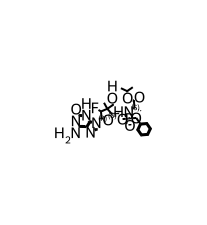 CC(C)OC(=O)[C@H](C)NP(=O)(OC[C@H]1O[C@@H](n2cnc3c(N)nc(=O)[nH]c32)C(F)C1(C)CO)Oc1ccccc1